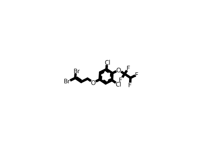 FC(F)C(F)(F)Oc1c(Cl)cc(OCC=C(Br)Br)cc1Cl